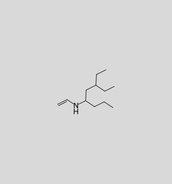 C=CNC(CCC)CC(CC)CC